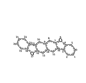 c1ccc2c(c1)oc1cc3cc4c(cc3cc12)oc1ccccc14